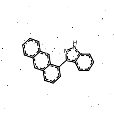 c1ccc2cc3c(-c4n[nH]c5ccccc45)cccc3cc2c1